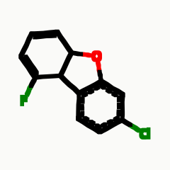 FC1=CC=CC2Oc3cc(Cl)ccc3C12